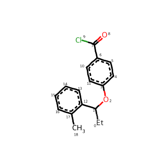 CCC(Oc1ccc(C(=O)Cl)cc1)c1ccccc1C